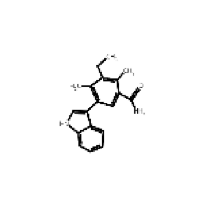 CCc1c(C)c(C(N)=O)cc(-c2c[nH]c3ccccc23)c1C